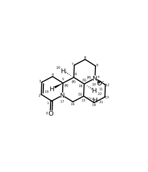 O=C1C=CC[C@@H]2[C@H]3CCC[N@+]4([O-])CCC[C@@H](CN12)[C@@H]34